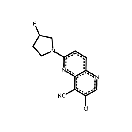 N#Cc1c(Cl)cnc2ccc(N3CCC(F)C3)nc12